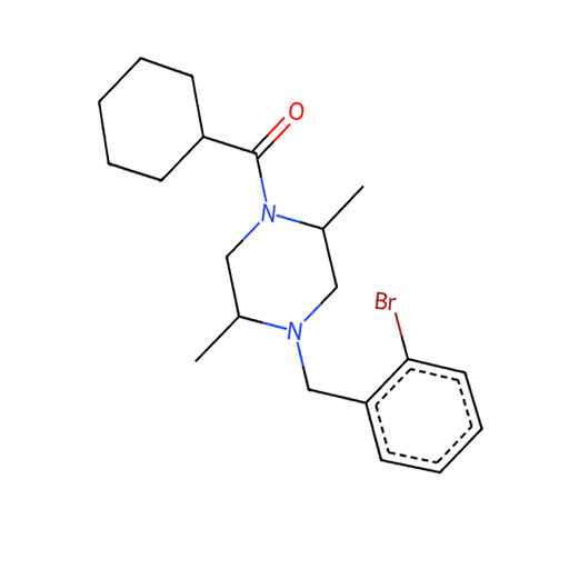 CC1CN(C(=O)C2CCCCC2)C(C)CN1Cc1ccccc1Br